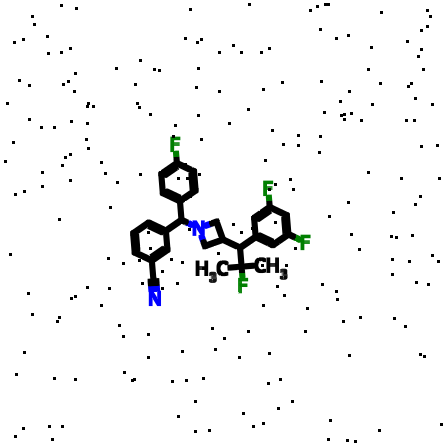 CC(C)(F)C(c1cc(F)cc(F)c1)C1CN(C(c2ccc(F)cc2)c2cccc(C#N)c2)C1